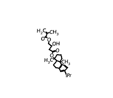 C=C(C)C(=O)OCC(O)CC(=O)OC1(C)CCCC2(C)c3ccc(C(C)C)cc3CCC12